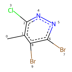 Cc1c(Cl)nnc(Br)c1Br